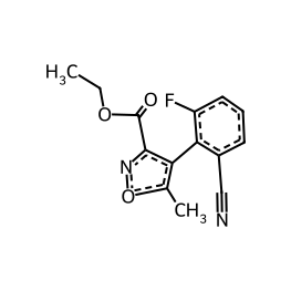 CCOC(=O)c1noc(C)c1-c1c(F)cccc1C#N